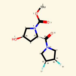 CC(C)(C)OC(=O)N1C[C@H](O)C[C@H]1C(=O)N1C[C@@H](F)[C@@H](F)C1